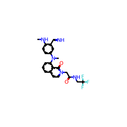 CNc1ccc(N(C)c2cccc3ccn(CC(=O)NCC(F)(F)F)c(=O)c23)cc1C=N